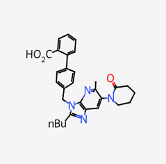 CCCCc1nc2cc(N3CCCCC3=O)c(C)nc2n1Cc1ccc(-c2ccccc2C(=O)O)cc1